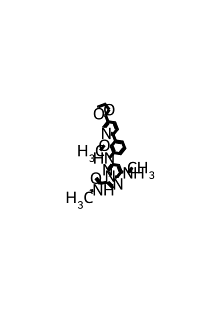 CCNC(=O)c1cnc2c(NC)cc(Nc3cccc(-c4ccc(C5OCCO5)cn4)c3OC)nn12